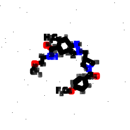 Cc1cc2nn(CC3CN(C(=O)c4ccc(OC(F)(F)F)cc4)C3)cc2cc1C(=O)NCCOC(F)(F)F